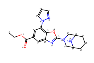 CCOC(=O)c1cc(-n2cccn2)c2oc(N3CC4CCCC(C3)N4)nc2c1